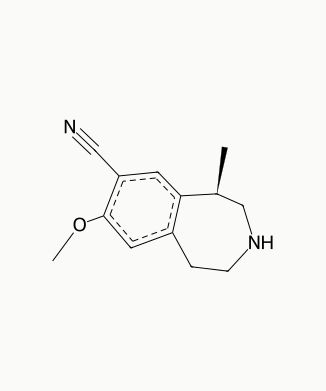 COc1cc2c(cc1C#N)[C@@H](C)CNCC2